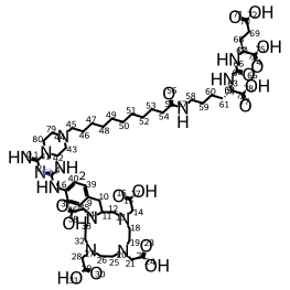 N=C(/N=C(\N)Nc1ccc(CC2CN(CC(=O)O)CCN(CC(=O)O)CCN(CC(=O)O)CCN2CC(=O)O)cc1)N1CCN(CCCCCCCCCCC(=O)NCCCC[C@H](NC(=O)N[C@@H](CCC(=O)O)C(=O)O)C(=O)O)CC1